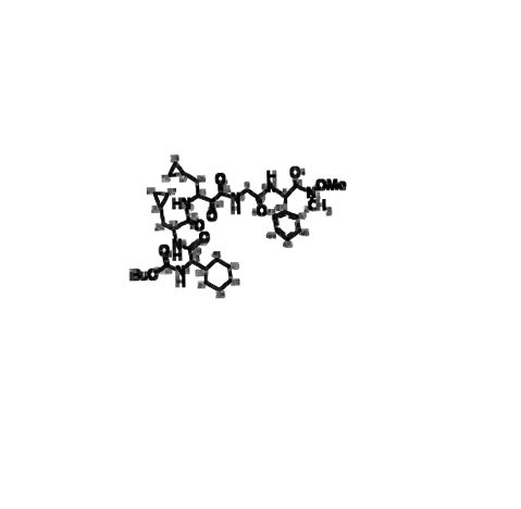 CON(C)C(=O)C(NC(=O)CNC(=O)C(=O)C(CC1CC1)NC(=O)C(CC1CC1)NC(=O)C(NC(=O)OCC(C)C)C1CCCCC1)c1ccccc1